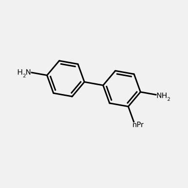 CCCc1cc(-c2ccc(N)cc2)ccc1N